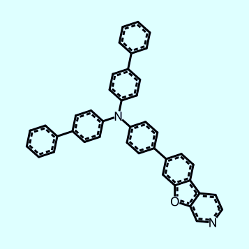 c1ccc(-c2ccc(N(c3ccc(-c4ccccc4)cc3)c3ccc(-c4ccc5c(c4)oc4cnccc45)cc3)cc2)cc1